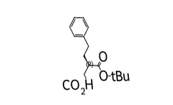 CC(C)(C)OC(=O)[C@H](CCc1ccccc1)CC(=O)O